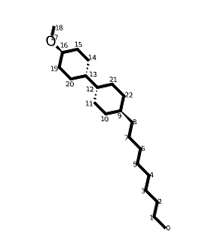 CCCCCCCCC[C@H]1CC[C@H]([C@H]2CC[C@H](OC)CC2)CC1